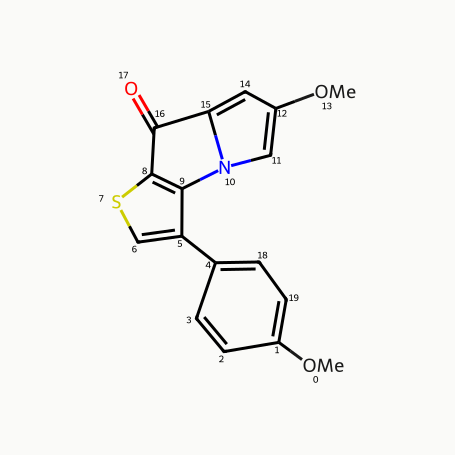 COc1ccc(-c2csc3c2-n2cc(OC)cc2C3=O)cc1